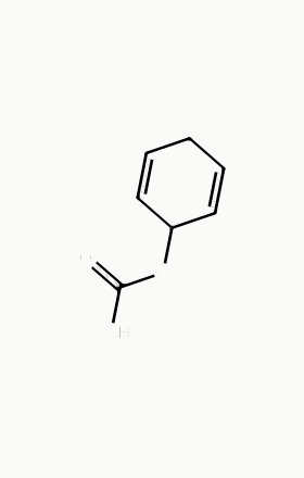 O=C(O)OC1C=CCC=C1